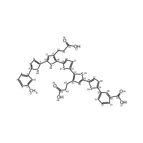 Cc1cccc(-c2ccc(-c3cc(CCC(=O)O)c(-c4ccc(-c5sc(-c6ccc(-c7cccc(C(=O)O)c7)s6)cc5CCC(=O)O)s4)s3)s2)c1